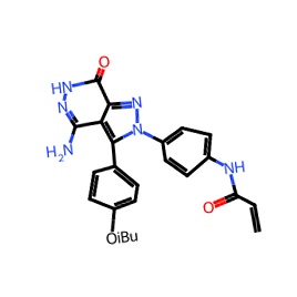 C=CC(=O)Nc1ccc(-n2nc3c(=O)[nH]nc(N)c3c2-c2ccc(OCC(C)C)cc2)cc1